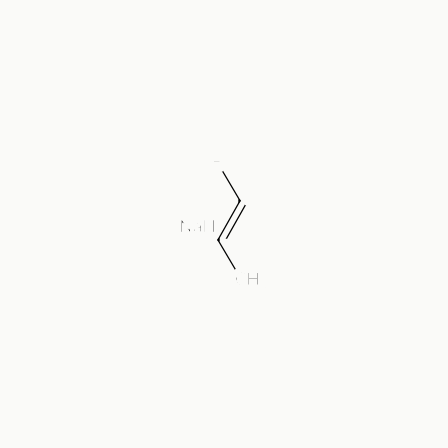 CC=CF.[NaH]